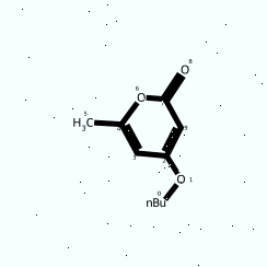 CCCCOc1cc(C)oc(=O)c1